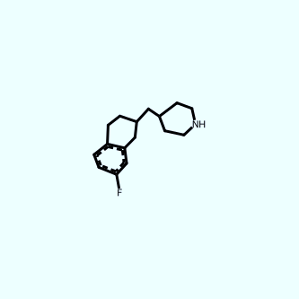 Fc1ccc2c(c1)CC(CC1CCNCC1)CC2